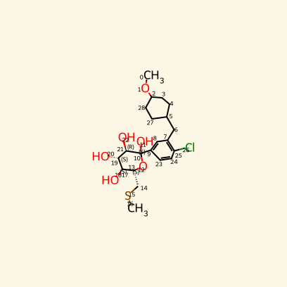 COC1CCC(Cc2cc([C@]3(O)O[C@H](CSC)[C@@H](O)[C@H](O)[C@H]3O)ccc2Cl)CC1